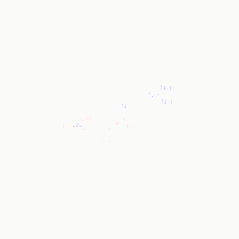 N=C(N)NCCCC(N)C(=O)Oc1cccc(CCON(O)O)c1